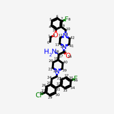 CCOc1cccc(F)c1CN1CCN(C(=O)[C@H](N)C2CCN(CCc3cc(Cl)ccc3-c3ccc(F)cc3)CC2)CC1